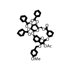 COc1ccc(COc2c(OC(C)=O)c(=O)oc3cc(O[C@@H]4O[C@H](COC(=O)c5ccccc5)[C@H](OC(=O)c5ccccc5)[C@H](OC(=O)c5ccccc5)[C@H]4OC(=O)c4ccccc4)ccc23)cc1